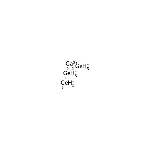 [Ga+3].[GeH5-].[GeH5-].[GeH5-]